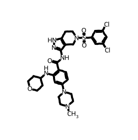 CN1CCN(c2ccc(C(=O)Nc3n[nH]c4c3CN(S(=O)(=O)c3cc(Cl)cc(Cl)c3)CC4)c(NC3CCOCC3)c2)CC1